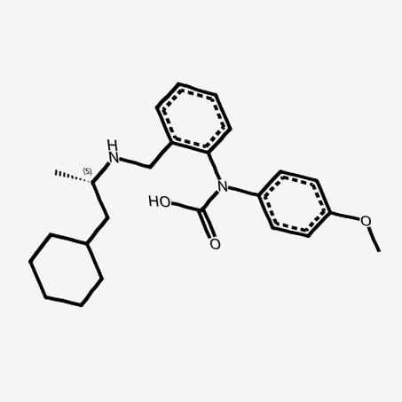 COc1ccc(N(C(=O)O)c2ccccc2CN[C@@H](C)CC2CCCCC2)cc1